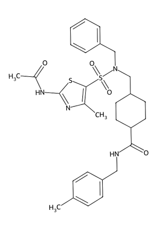 CC(=O)Nc1nc(C)c(S(=O)(=O)N(Cc2ccccc2)CC2CCC(C(=O)NCc3ccc(C)cc3)CC2)s1